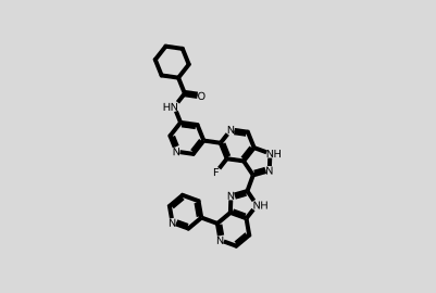 O=C(Nc1cncc(-c2ncc3[nH]nc(-c4nc5c(-c6cccnc6)nccc5[nH]4)c3c2F)c1)C1CCCCC1